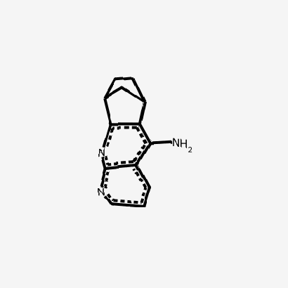 Nc1c2c(nc3ncccc13)C1CCC2C1